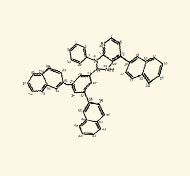 c1ccc(N2c3nccc(-c4ccc5ccccc5c4)c3NC2c2cc(-c3ccc4ccccc4c3)cc(-c3ccc4ccccc4c3)c2)cc1